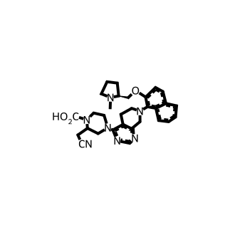 CN1CCC[C@H]1COc1ccc2ccccc2c1N1CCc2c(ncnc2N2CCN(C(=O)O)C(CC#N)C2)C1